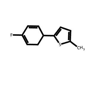 Cc1ccc(C2C=CC(F)=CC2)s1